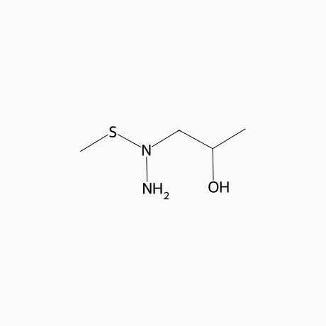 CSN(N)CC(C)O